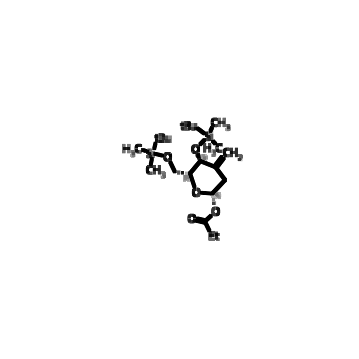 C=C1C[C@H](OC(=O)CC)O[C@H](CO[Si](C)(C)C(C)(C)C)[C@H]1O[Si](C)(C)C(C)(C)C